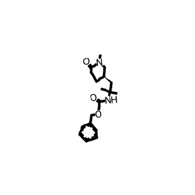 CN1C[C@@H](CC(C)(C)NC(=O)OCc2ccccc2)CCC1=O